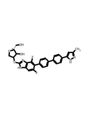 Cc1cc(-c2ccc(-c3ccc(-c4c(F)cc5[nH]c(OC6CO[C@H](CO)C6O)nc5c4F)cc3)cc2)[nH]n1